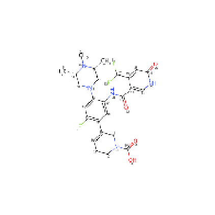 C[C@@H]1CN(c2cc(F)c(C3=CCCN(C(=O)O)C3)cc2NC(=O)c2c[nH]c(=O)cc2C(F)F)C[C@H](C)N1C